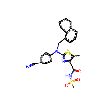 Cc1sc(N(Cc2cccc3ccccc23)c2ccc(C#N)cc2)nc1C(=O)NS(C)(=O)=O